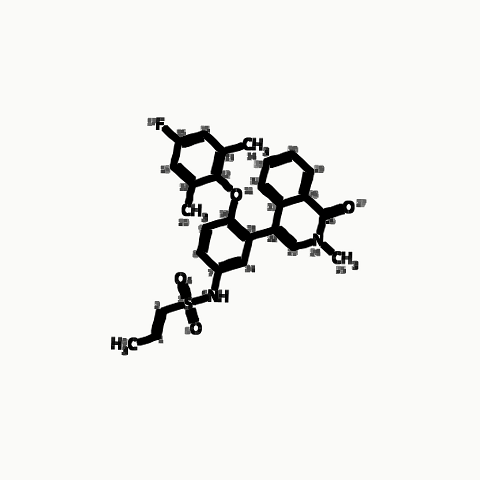 C/C=C/S(=O)(=O)Nc1ccc(Oc2c(C)cc(F)cc2C)c(-c2cn(C)c(=O)c3ccccc23)c1